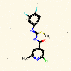 CS/C(=N\c1ccc(F)c(F)c1)NC(=O)c1cc(C)nc(Cl)c1